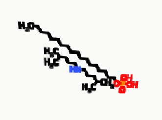 CC(C)CCCNCCCC(C)C.CCCCCCCCCCCCCCCCCCOP(=O)(O)O